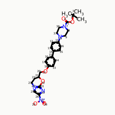 CC(C)(C)OC(=O)N1CCN(c2ccc(-c3ccc(OCC4CCn5cc([N+](=O)[O-])nc5O4)cc3)cc2)CC1